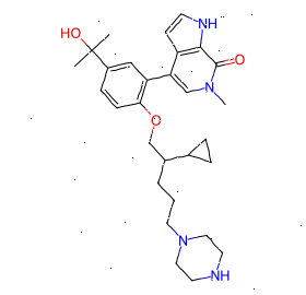 Cn1cc(-c2cc(C(C)(C)O)ccc2OCC(CCCN2CCNCC2)C2CC2)c2cc[nH]c2c1=O